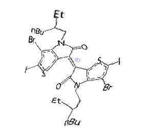 CCCCC(CC)CN1C(=O)/C(=C2/C(=O)N(CC(CC)CCCC)c3c2sc(I)c3Br)c2sc(I)c(Br)c21